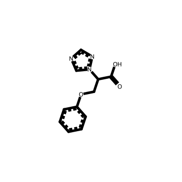 O=C(O)C(COc1ccccc1)n1cncn1